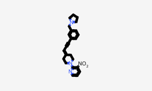 O=[N+]([O-])c1cccnc1N1CCC(=CC#Cc2cccc(CN3CCCC3)c2)CC1